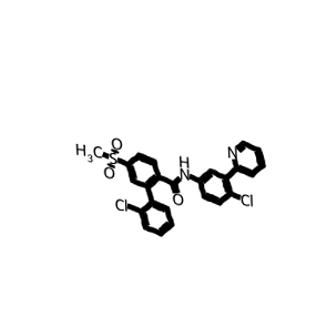 CS(=O)(=O)c1ccc(C(=O)Nc2ccc(Cl)c(-c3ccccn3)c2)c(-c2ccccc2Cl)c1